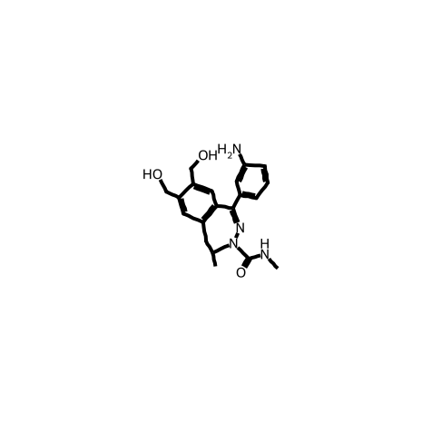 CNC(=O)N1N=C(c2cccc(N)c2)c2cc(CO)c(CO)cc2CC1C